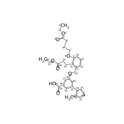 CCOC(=O)CCCOc1cccc(COc2cc(C(=O)O)cc(-c3cscc3C)c2)c1CCC(=O)OCC